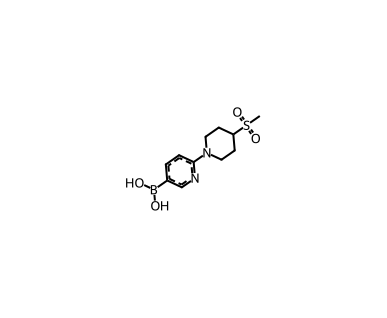 CS(=O)(=O)C1CCN(c2ccc(B(O)O)cn2)CC1